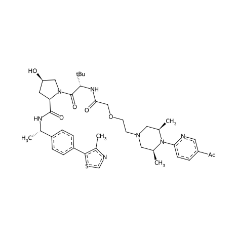 CC(=O)c1ccc(N2[C@H](C)CN(CCOCC(=O)N[C@H](C(=O)N3C[C@H](O)CC3C(=O)N[C@@H](C)c3ccc(-c4scnc4C)cc3)C(C)(C)C)C[C@@H]2C)nc1